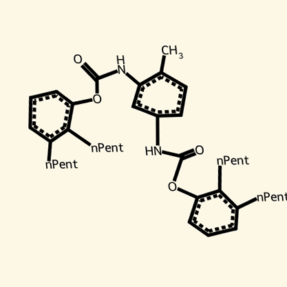 CCCCCc1cccc(OC(=O)Nc2ccc(C)c(NC(=O)Oc3cccc(CCCCC)c3CCCCC)c2)c1CCCCC